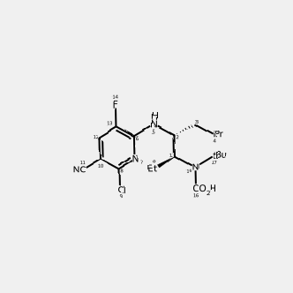 CC[C@@H]([C@@H](CC(C)C)Nc1nc(Cl)c(C#N)cc1F)N(C(=O)O)C(C)(C)C